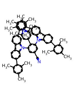 Cc1cc(C)c(-c2ccc3c4ccc(-c5c(C)cc(C)cc5C)cc4n(-c4cc(C#N)cc(-n5c6cc(-c7c(C)cc(C)cc7C)ccc6c6ccc(-c7c(C)cc(C)cc7C)cc65)c4-c4cc(C)nc(C)c4)c3c2)c(C)c1